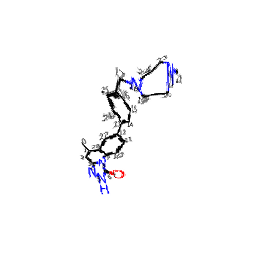 Cc1cc2n[nH]c(=O)n2c2ccc(-c3ccc(CN4CCN(C)CC4)cc3)cc12